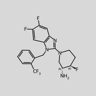 N[C@@H]1CN(c2nc3cc(F)c(F)cc3n2Cc2ccccc2C(F)(F)F)CC[C@H]1F